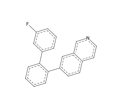 Fc1cccc(-c2ccccc2-c2ccc3ccncc3c2)c1